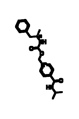 CC(C)NC(=O)c1cc[n+](COC(=O)N[C@@H](C)Cc2ccccc2)cc1